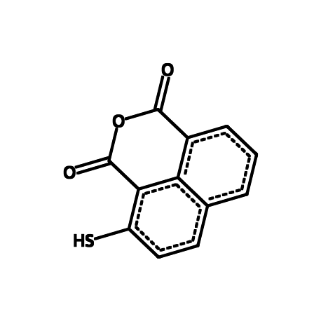 O=C1OC(=O)c2c(S)ccc3cccc1c23